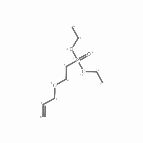 C=CCOCCP(=O)(OCC)OCC